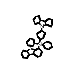 c1ccc([Si](c2ccccc2)(c2ccc(-n3c4ccccc4c4ccccc43)cc2)c2cccc3c2sc2ccccc23)cc1